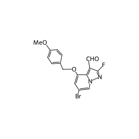 COc1ccc(COc2cc(Br)cn3nc(F)c(C=O)c23)cc1